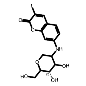 O=c1oc2cc(NC3COC(CO)[C@@H](O)C3O)ccc2cc1I